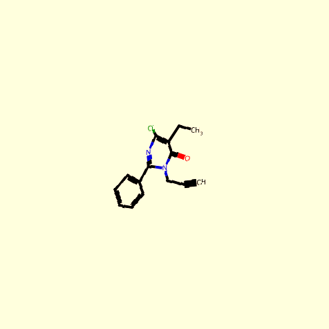 C#CCn1c(-c2ccccc2)nc(Cl)c(CC)c1=O